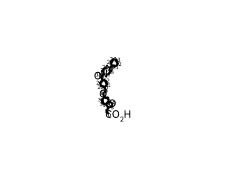 O=C(O)CC1COc2cc(OCc3ccc(C(=O)N4CCN(c5ccccc5)CC4)cc3)ccc21